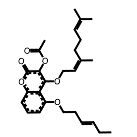 CCC=CCCOc1cccc2oc(=O)c(OC(C)=O)c(OCC=C(C)CCC=C(C)C)c12